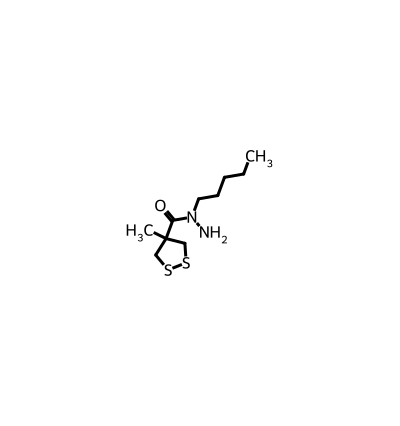 CCCCCN(N)C(=O)C1(C)CSSC1